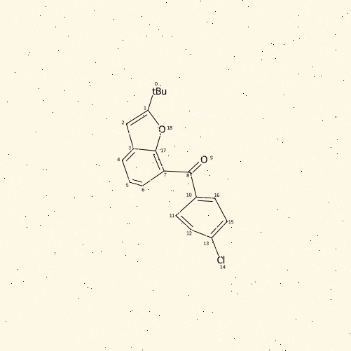 CC(C)(C)c1cc2cccc(C(=O)c3ccc(Cl)cc3)c2o1